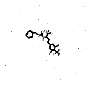 O=C(NC(CCc1cc(F)c(C(F)(F)F)c(F)c1)C(=O)O)OCc1ccccc1